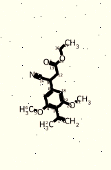 C=C(C)c1c(OC)cc(C(C#N)CC(=O)OCC)cc1OC